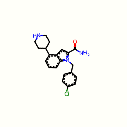 NC(=O)c1cc2c(C3CCNCC3)cccc2n1Cc1ccc(Cl)cc1